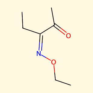 CCON=C(CC)C(C)=O